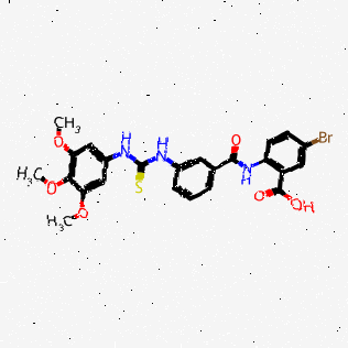 COc1cc(NC(=S)Nc2cccc(C(=O)Nc3ccc(Br)cc3C(=O)O)c2)cc(OC)c1OC